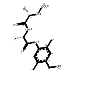 Cc1cc(NC(=O)[C@H](C)NC(=O)[C@@H](NC(=O)O)C(C)C)c(C)cc1CO